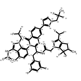 CC1Cc2c(C(F)F)nn(CC(=O)NC(Cc3cc(F)cc(F)c3)c3nc4cc(-c5ccn(CC(C)(F)F)n5)ccc4c(=O)n3-c3ccc(Cl)c4c(N[S+](C)[O-])nn(CC(F)F)c34)c2C1(F)F